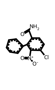 NC(=O)c1ccc(Cl)c([N+](=O)[O-])c1-c1ccccc1